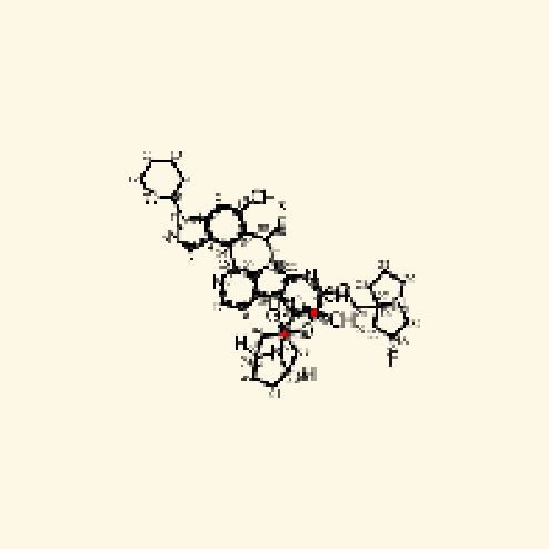 Cc1cc2c(cnn2C2CCCCO2)c(-c2nccc3c2sc2nc(OC[C@@]45CCCN4C[C@H](F)C5)nc(N4C[C@H]5CC[C@@H](C4)N5C(=O)OC(C)(C)C)c23)c1C(F)F